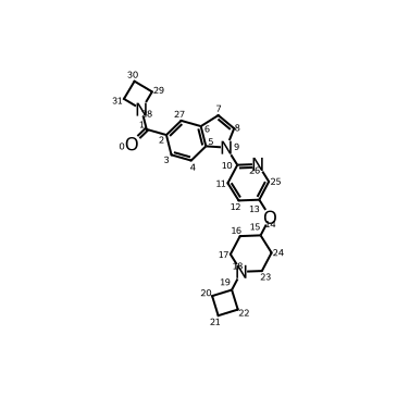 O=C(c1ccc2c(ccn2-c2ccc(OC3CCN(C4CCC4)CC3)cn2)c1)N1CCC1